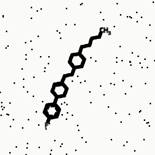 CCCCCC1CCC(CCC2=CCC(c3ccc(F)cc3)CC2)CC1